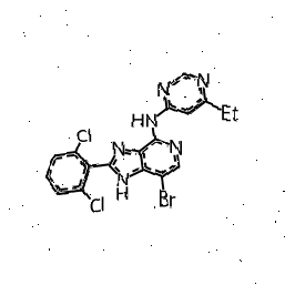 CCc1cc(Nc2ncc(Br)c3[nH]c(-c4c(Cl)cccc4Cl)nc23)ncn1